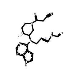 C[C@@H]1CCN(C(=O)CC#N)CC1N(C/C=C/NC=O)c1ncnc2[nH]ccc12